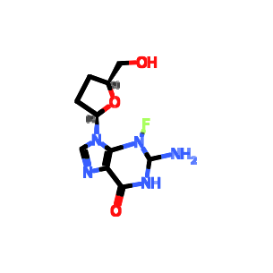 NC1NC(=O)c2ncn([C@H]3CC[C@@H](CO)O3)c2N1F